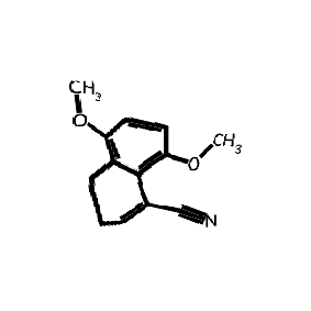 COc1ccc(OC)c2c1CCC=C2C#N